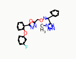 Cn1nnnc1/C(=N\OCc1nnc(-c2ccccc2Oc2cccc(F)c2)o1)c1ccccc1